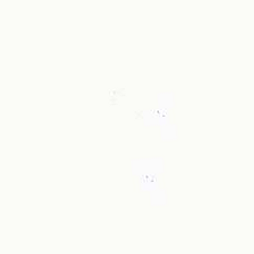 c1ccc(-c2ccc(N(c3cccc(-c4ccccc4)c3)c3cccc4c3c3c(-c5ccccc5)cccc3n4-c3ccccc3)cc2)cc1